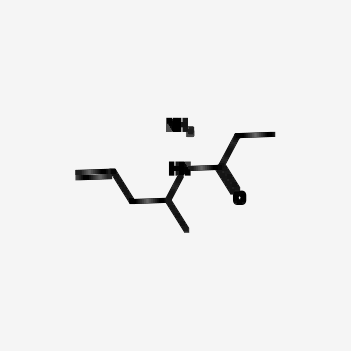 C=CCC(C)NC(=O)CC.N